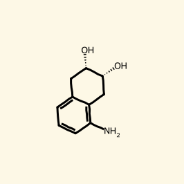 Nc1cccc2c1C[C@@H](O)[C@@H](O)C2